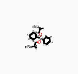 CCCCC(C)CO[Si](OCC(C)CCCC)(c1ccccc1)c1ccccc1